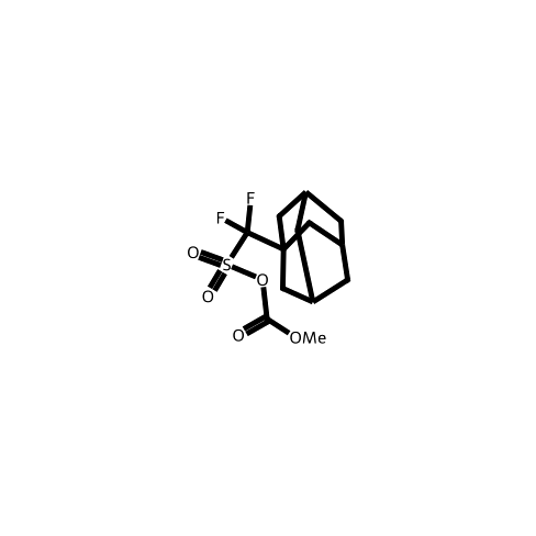 COC(=O)OS(=O)(=O)C(F)(F)C12CC3CC(CC(C3)C1)C2